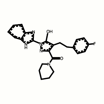 O=C(c1nn(-c2nc3ccccc3[nH]2)c(O)c1CCc1ccc(F)cc1)N1CCCCC1